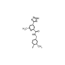 Cc1cc(-c2nn[nH]n2)cc(C(=O)NCc2ccc(F)c(C)c2)n1